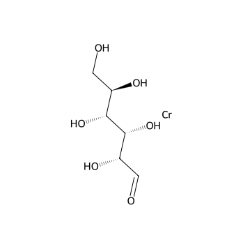 O=C[C@H](O)[C@@H](O)[C@H](O)[C@H](O)CO.[Cr]